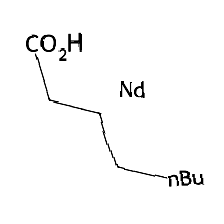 CCCCCCCC(=O)O.[Nd]